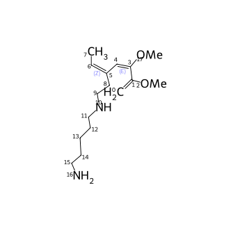 C=C(OC)/C(=C\C(=C/C)CCNCCCCCN)OC